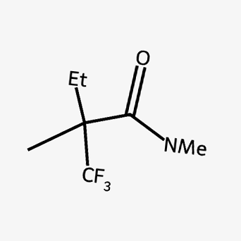 CCC(C)(C(=O)NC)C(F)(F)F